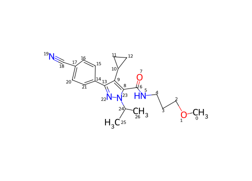 COCCCNC(=O)c1c(C2CC2)c(-c2ccc(C#N)cc2)nn1C(C)C